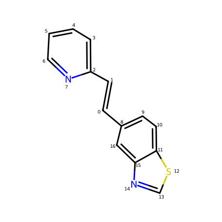 C(=Cc1ccccn1)c1ccc2scnc2c1